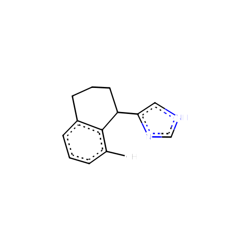 Cc1cccc2c1C(c1c[nH]cn1)CCC2